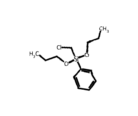 CCCO[Si](CCl)(OCCC)c1ccccc1